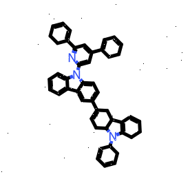 C1=CCCC(c2cc(C3=CC=CCC3)nc(-n3c4ccccc4c4cc(C5=CCC6C(C5)C5=C(CCC=C5)N6C5C=CC=CC5)ccc43)c2)=C1